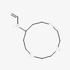 O=[C]NC1CCNCCNCCNCC1